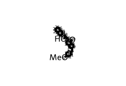 COC1CCN(Cc2ccc3c(c2)CCN(CC(O)CN2CCc4ccccc4C2)C3=O)CC1